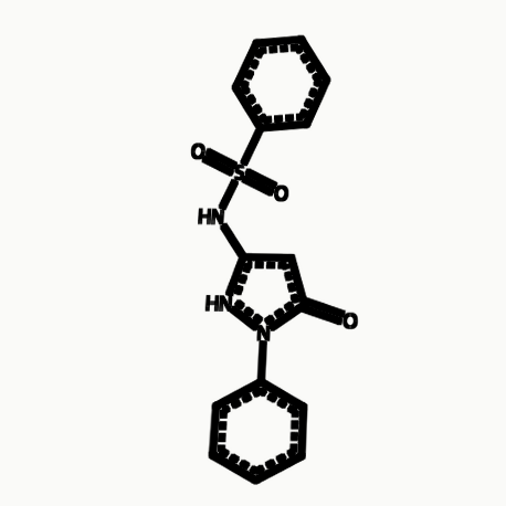 O=c1cc(NS(=O)(=O)c2ccccc2)[nH]n1-c1ccccc1